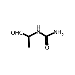 CC(C=O)NC(N)=O